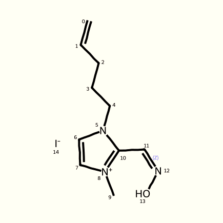 C=CCCCn1cc[n+](C)c1/C=N\O.[I-]